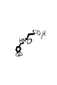 O=C(O)CCC(=O)NCCc1ccc2c(c1)OCO2